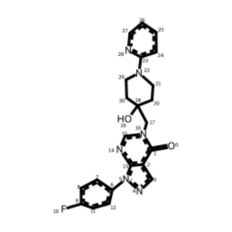 O=c1c2cnn(-c3ccc(F)cc3)c2ncn1CC1(O)CCN(c2ccccn2)CC1